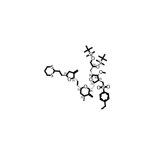 C=C1C[C@H](CCC2SCCCS2)O[C@H]1CC[C@H]1C[C@H](C)C(=C)[C@@H](C[C@@H]2O[C@H](C[C@@H](CO[Si](C)(C)C(C)(C)C)O[Si](C)(C)C(C)(C)C)[C@H](OC)[C@H]2CS(=O)(=O)c2ccc(CC)cc2)O1